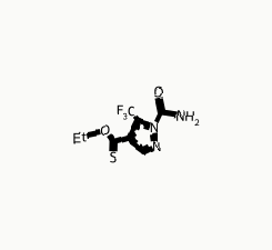 CCOC(=S)c1cnn(C(N)=O)c1C(F)(F)F